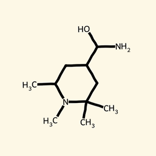 CC1CC(C(N)O)CC(C)(C)N1C